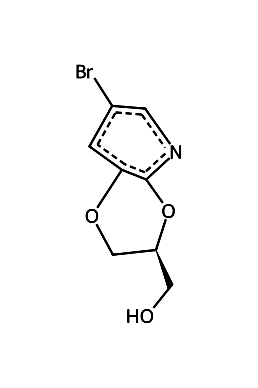 OC[C@H]1COc2cc(Br)cnc2O1